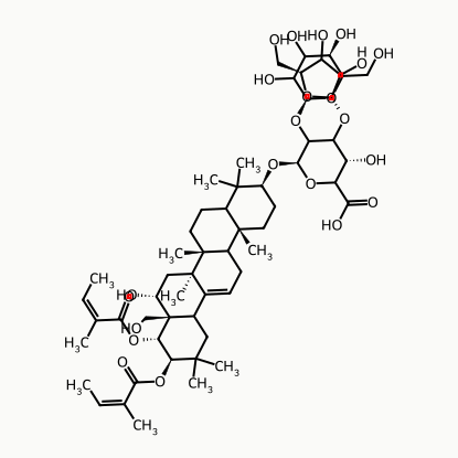 C/C=C(/C)C(=O)O[C@H]1[C@H](OC(=O)/C(C)=C\C)[C@@]2(CO)C(CC1(C)C)C1=CCC3[C@@]4(C)CC[C@H](O[C@@H]5OC(C(=O)O)[C@@H](O)C(O[C@@H]6O[C@@H](CO)C(O)C6O)C5O[C@@H]5OC(CO)[C@H](O)C(O)C5O)C(C)(C)C4CC[C@@]3(C)[C@]1(C)C[C@H]2O